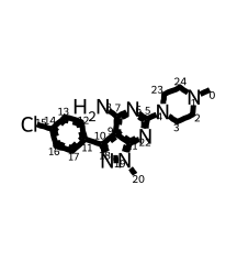 CN1CCN(c2nc(N)c3c(-c4ccc(Cl)cc4)nn(C)c3n2)CC1